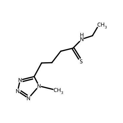 CCNC(=S)CCCc1nnnn1C